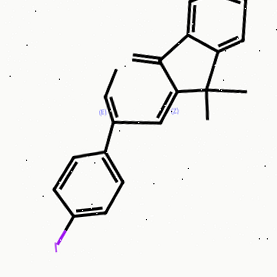 C=C1/C(=C\C(=C/C)c2ccc(I)cc2)C(C)(C)c2ccccc21